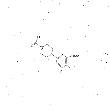 CCC(=O)N1CCC(c2cc(F)c(Cl)c(OC)c2)CC1